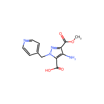 COC(=O)c1nn(Cc2ccncc2)c(C(=O)O)c1N